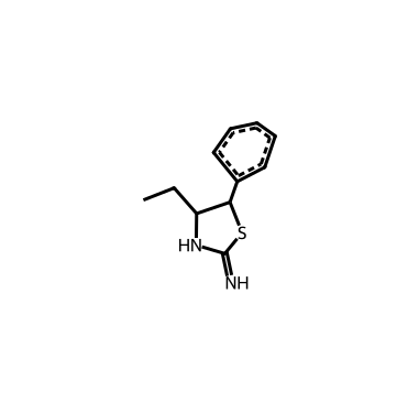 CCC1NC(=N)SC1c1ccccc1